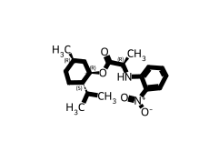 CC(C)[C@@H]1CC[C@@H](C)C[C@H]1OC(=O)[C@@H](C)Nc1ccccc1[N+](=O)[O-]